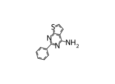 Nc1nc(-c2ccccc2)nc2sccc12